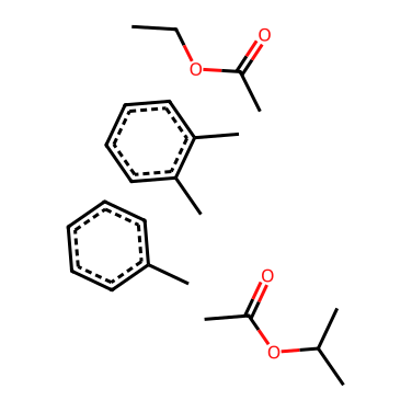 CC(=O)OC(C)C.CCOC(C)=O.Cc1ccccc1.Cc1ccccc1C